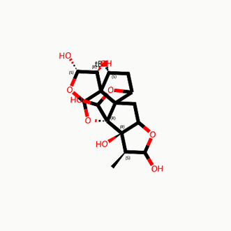 C[C@@H]1C(O)OC2CC34C5C[C@@H](C(C)(C)C)C36C(O[C@H](O)[C@@H]6O)O[C@@]4(C(O)O5)[C@]21O